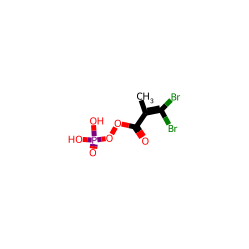 CC(C(=O)OOP(=O)(O)O)=C(Br)Br